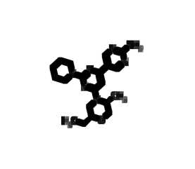 CC[C@H]1CN(c2cc(-c3cnc(N)nc3)nc(N3CCCCC3)n2)[C@@H](C)CO1